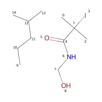 CC(C)(I)C(=O)NCO.CCCC(C)C